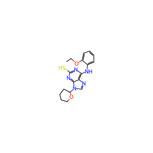 CCOc1ccccc1Nc1nc(S)nc2c1ncn2C1CCCCO1